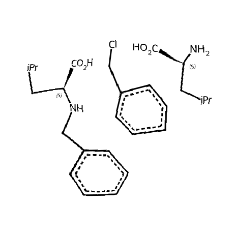 CC(C)C[C@H](N)C(=O)O.CC(C)C[C@H](NCc1ccccc1)C(=O)O.ClCc1ccccc1